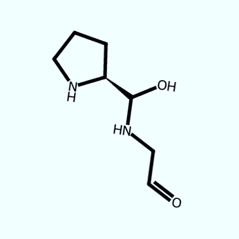 O=CCNC(O)[C@@H]1CCCN1